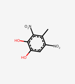 Cc1c([N+](=O)[O-])cc(O)c(O)c1[N+](=O)[O-]